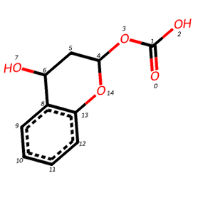 O=C(O)OC1CC(O)c2ccccc2O1